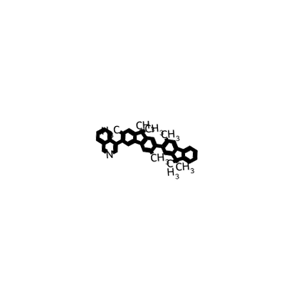 Cc1cc2c(cc1-c1cc3c(cc1C)-c1cc(-c4cncc5ccccc45)c(C)cc1C3(C)C)C(C)(C)c1ccccc1-2